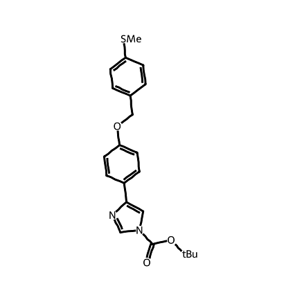 CSc1ccc(COc2ccc(-c3cn(C(=O)OC(C)(C)C)cn3)cc2)cc1